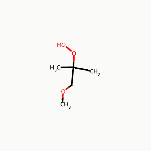 COCC(C)(C)OO